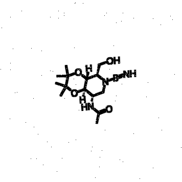 CC(=O)N[C@H]1CN(B=N)[C@H](CO)[C@H]2OC(C)(C)C(C)(C)O[C@@H]21